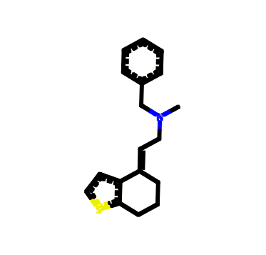 CN(CC=C1CCCc2sccc21)Cc1ccccc1